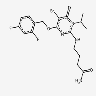 CC(C)n1c(NCCCC(N)=O)nc(OCc2ccc(F)cc2F)c(Br)c1=O